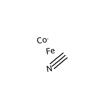 C#N.[Co].[Fe]